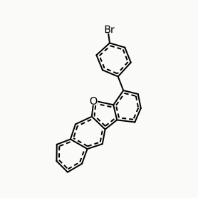 Brc1ccc(-c2cccc3c2oc2cc4ccccc4cc23)cc1